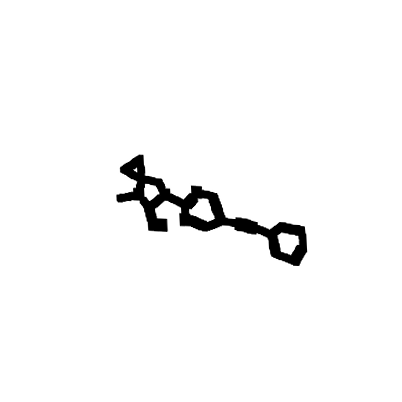 CN1C(=N)N(c2ncc(C#Cc3ccccc3)cn2)CC12CC2